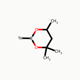 [2H]B1OC(C)CC(C)(C)O1